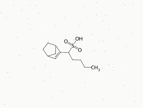 CCCCC(C1=CC2CCC1C2)S(=O)(=O)O